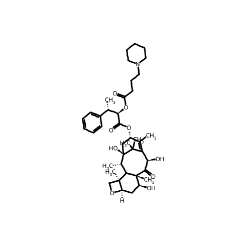 CC1=C2[C@@H](O)C(=O)[C@@]3(C)C([C@H](C)[C@](O)(C[C@@H]1OC(=O)[C@H](OC(=O)CCCN1CCCCC1)[C@@H](C)c1ccccc1)C2(C)C)[C@]1(C)CO[C@@H]1C[C@@H]3O